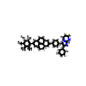 [2H]c1c([2H])c([2H])c(-c2cc3ccc4cc(-c5ccc(-c6c(-c7ccccc7)nc7ncccn67)cc5)cc5ccc(c2)c3c45)c([2H])c1[2H]